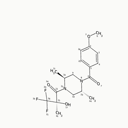 COc1ccc(C(=O)N2C[C@H](C)N(C(=O)[C@@](C)(O)C(F)(F)F)C[C@H]2C)cc1